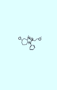 COCCC(=O)N(c1ccccc1)C1CCCC(OC)CC1N(C)C